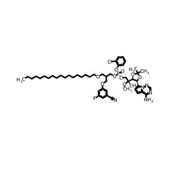 CCCCCCCCCCCCCCCCCCOCC(COc1cc(F)cc(C#N)c1)COP(=O)(OC[C@@](C)(OC)[C@H]1OC(C)(C)O[C@H]1c1ccc2c(N)ncnn12)Oc1ccccc1Cl